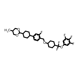 CC1COC(C2CCC(c3ccc(COC4CCC(C(F)(F)Oc5cc(F)c(F)c(F)c5)CC4)c(F)c3)CC2)OC1